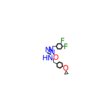 O=C(Cc1ccc(OC2CC2)cc1)Nc1cnn(Cc2ccc(F)c(F)c2)n1